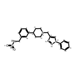 O=[SH](=O)NCc1cccc(C2CCN(Cc3cn(-c4ccccc4)nn3)CC2)c1